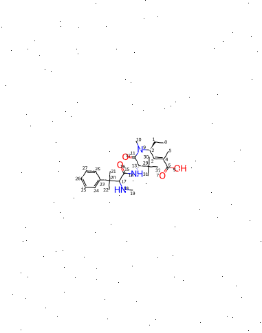 CC[C@@H](/C=C(\C)C(=O)O)N(C)C(=O)[C@@H](NC(=O)C(NC)C(C)(C)c1ccccc1)C(C)(C)C